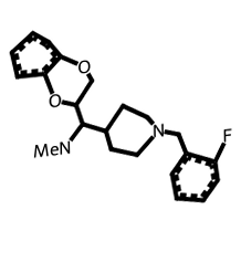 CNC(C1CCN(Cc2ccccc2F)CC1)C1COc2ccccc2O1